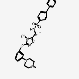 CCn1c(Oc2cccc(N3CCN(C)CC3)c2)nnc1[C@@H](C)NS(=O)(=O)c1ccc(-c2ccccc2)cc1